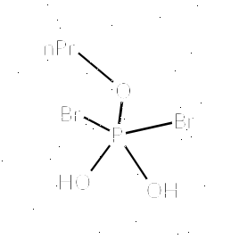 CCCOP(O)(O)(Br)Br